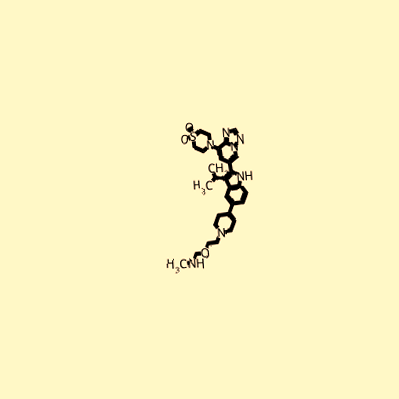 CNCOCCN1CCC(c2ccc3[nH]c(-c4cc(N5CCS(=O)(=O)CC5)c5ncnn5c4)c(C(C)C)c3c2)CC1